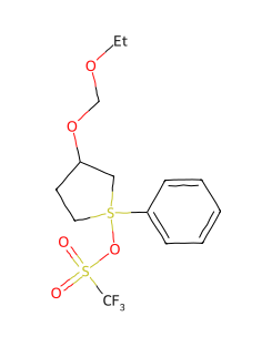 CCOCOC1CCS(OS(=O)(=O)C(F)(F)F)(c2ccccc2)C1